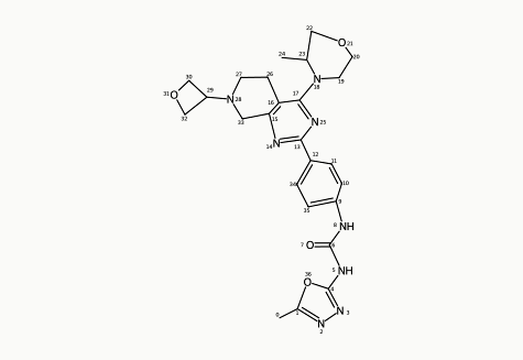 Cc1nnc(NC(=O)Nc2ccc(-c3nc4c(c(N5CCOCC5C)n3)CCN(C3COC3)C4)cc2)o1